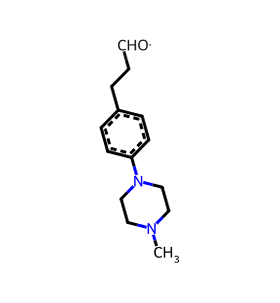 CN1CCN(c2ccc(CC[C]=O)cc2)CC1